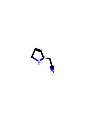 N#CC[C@@H]1C=CCN1